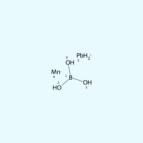 OB(O)O.[Mn].[PbH2]